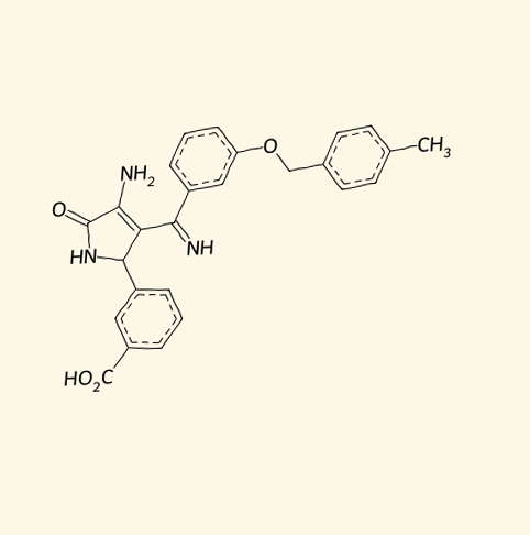 Cc1ccc(COc2cccc(C(=N)C3=C(N)C(=O)NC3c3cccc(C(=O)O)c3)c2)cc1